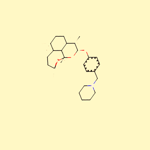 C[C@H]1[C@@H](Oc2ccc(CN3CCCCC3)cc2)O[C@@H]2O[C@]3(C)CC[C@H]4[C@H](C)CC[C@@H]1[C@@]24OO3